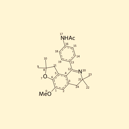 COc1cc2c(c3c1OC(C)(C)C3)C(c1ccc(NC(C)=O)cc1)=NC(C)(C)C2